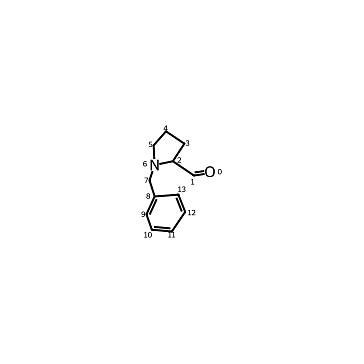 O=CC1CCCN1Cc1ccccc1